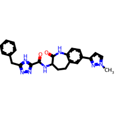 Cn1ccc(-c2ccc3c(c2)CCC(NC(=O)c2nnc(Cc4ccccc4)[nH]2)C(=O)N3)n1